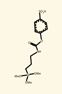 CO[Si](CCCNC(=O)Oc1ccc(S(=O)(=O)O)cc1)(OC)OC